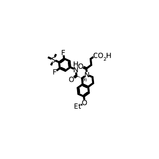 CCOc1ccc2c(c1)CCN(C(=O)CCC(=O)O)[C@H]2C(=O)Nc1cc(F)c(S(C)(C)C)c(F)c1